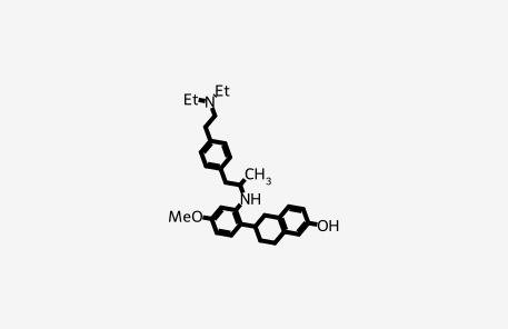 CCN(CC)CCc1ccc(CC(C)Nc2cc(OC)ccc2C2CCc3cc(O)ccc3C2)cc1